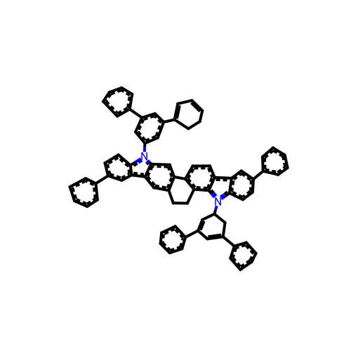 C1=CCCC(c2cc(-c3ccccc3)cc(-n3c4ccc(-c5ccccc5)cc4c4cc5c(cc43)-c3ccc4c6cc(-c7ccccc7)ccc6n(C6C=C(c7ccccc7)C=C(c7ccccc7)C6)c4c3CC5)c2)=C1